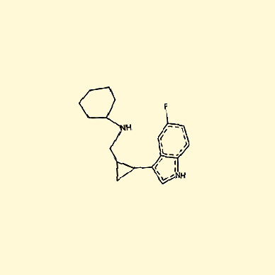 Fc1ccc2[nH]cc(C3CC3CNC3CCCCC3)c2c1